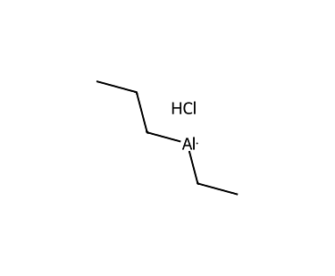 CC[CH2][Al][CH2]C.Cl